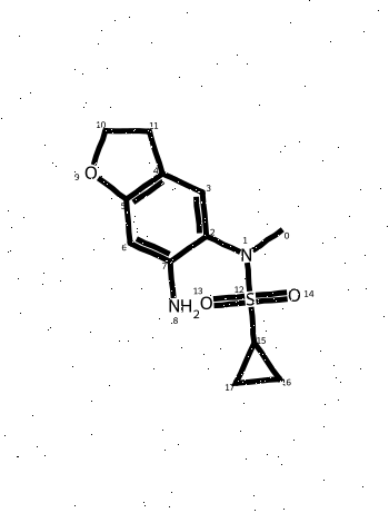 CN(c1cc2c(cc1N)OCC2)S(=O)(=O)C1CC1